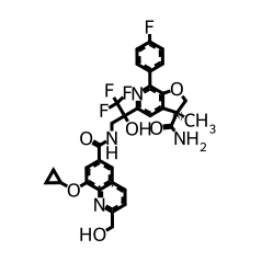 C[C@]1(C(N)=O)COc2c1cc(C(O)(CNC(=O)c1cc(OC3CC3)c3nc(CO)ccc3c1)C(F)(F)F)nc2-c1ccc(F)cc1